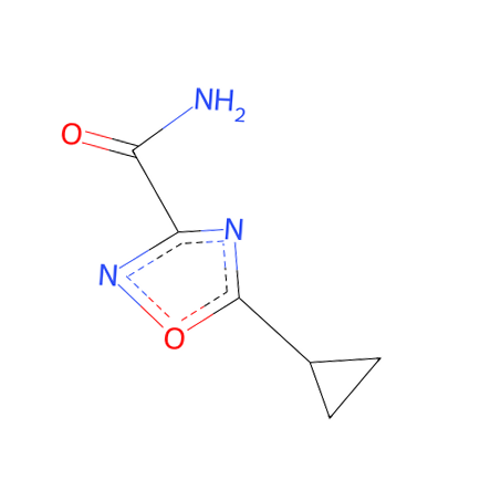 NC(=O)c1noc(C2CC2)n1